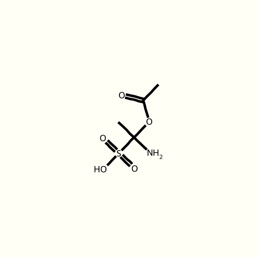 CC(=O)OC(C)(N)S(=O)(=O)O